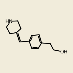 OCCc1ccc(C=C2CCNCC2)cc1